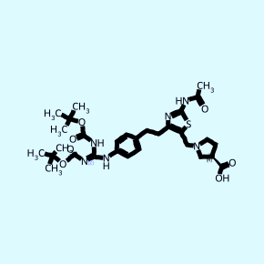 CC(=O)Nc1nc(CCc2ccc(N/C(=N/C(=O)OC(C)(C)C)NC(=O)OC(C)(C)C)cc2)c(CN2CC[C@@H](C(=O)O)C2)s1